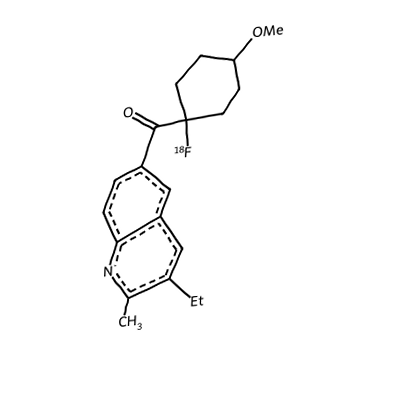 CCc1cc2cc(C(=O)C3([18F])CCC(OC)CC3)ccc2nc1C